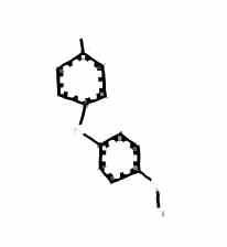 NOc1ccc(Nc2ccc(F)cc2)cc1